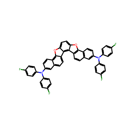 Fc1ccc(N(c2ccc(F)cc2)c2ccc3c(ccc4c3oc3ccc5oc6c7ccc(N(c8ccc(F)cc8)c8ccc(F)cc8)cc7ccc6c5c34)c2)cc1